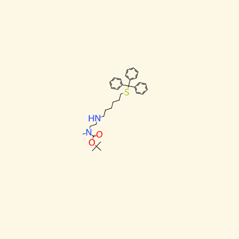 CN(CCNCCCCCCSC(c1ccccc1)(c1ccccc1)c1ccccc1)C(=O)OC(C)(C)C